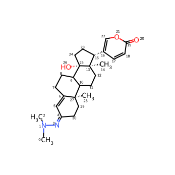 CN(C)N=C1C=C2CCC3C(CC[C@]4(C)[C@@H](c5ccc(=O)oc5)CC[C@]34O)[C@@]2(C)CC1